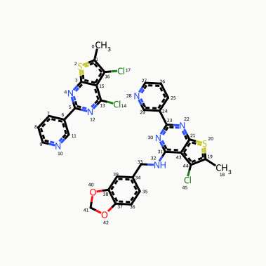 Cc1sc2nc(-c3cccnc3)nc(Cl)c2c1Cl.Cc1sc2nc(-c3cccnc3)nc(NCc3ccc4c(c3)OCO4)c2c1Cl